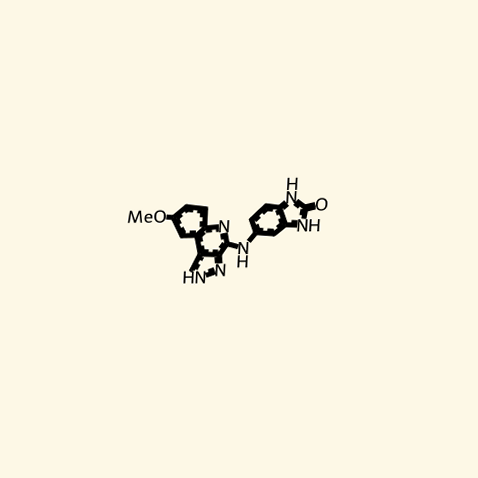 COc1ccc2nc(Nc3ccc4[nH]c(=O)[nH]c4c3)c3n[nH]cc3c2c1